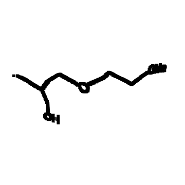 [CH2]C(O)COCCOC